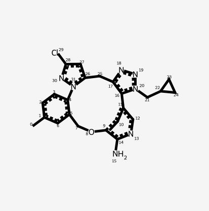 Cc1ccc2c(c1)COc1cc(cnc1N)-c1c(nnn1CC1CC1)Cc1cc(Cl)nn1-2